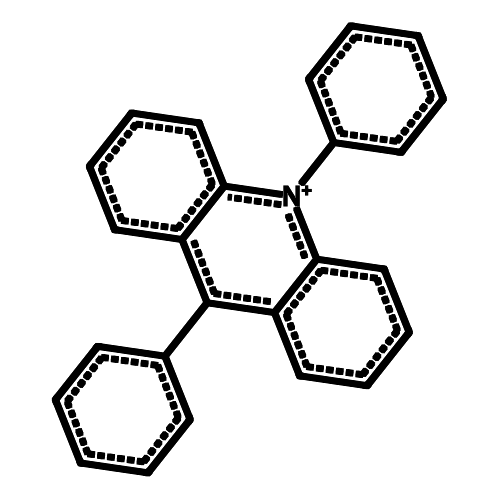 c1ccc(-c2c3ccccc3[n+](-c3ccccc3)c3ccccc23)cc1